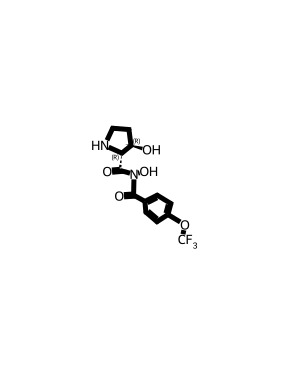 O=C(c1ccc(OC(F)(F)F)cc1)N(O)C(=O)[C@@H]1NCC[C@H]1O